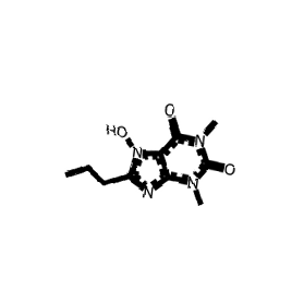 CCCc1nc2c(c(=O)n(C)c(=O)n2C)n1O